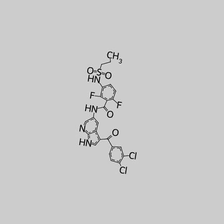 CCCS(=O)(=O)Nc1ccc(F)c(C(=O)Nc2cnc3[nH]cc(C(=O)c4ccc(Cl)c(Cl)c4)c3c2)c1F